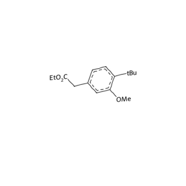 CCOC(=O)Cc1ccc(C(C)(C)C)c(OC)c1